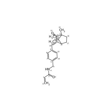 C=CC(=O)NCc1ccc(C=C2C(=O)C3(C)CCC2C3(C)C)cc1